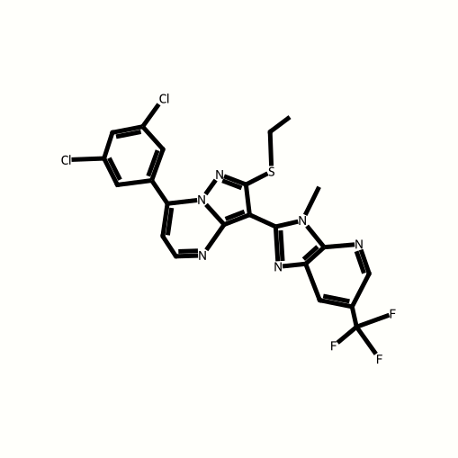 CCSc1nn2c(-c3cc(Cl)cc(Cl)c3)ccnc2c1-c1nc2cc(C(F)(F)F)cnc2n1C